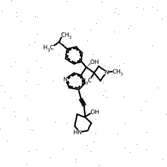 CC(C)c1ccc([C@](O)(c2cncc(C#CC3(O)CCNCC3)c2)C2(C)CN(C)C2)cc1